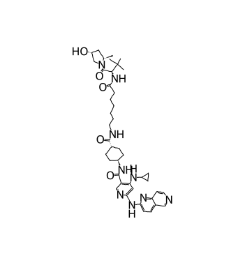 C[C@@H]1C[C@@H](O)CN1C(=O)[C@H](NC(=O)CCCCCCNC(=O)[C@H]1CC[C@H](NC(=O)c2cnc(Nc3ccc4cnccc4n3)cc2NC2CC2)CC1)C(C)(C)C